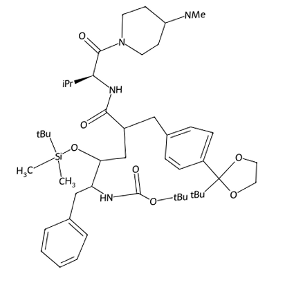 CNC1CCN(C(=O)[C@@H](NC(=O)C(Cc2ccc(C3(C(C)(C)C)OCCO3)cc2)CC(O[Si](C)(C)C(C)(C)C)C(Cc2ccccc2)NC(=O)OC(C)(C)C)C(C)C)CC1